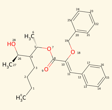 CCCCC([C@H](C)OC(=O)C(=Cc1ccccc1)OCc1ccccc1)[C@@H](C)O